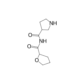 O=C(NC(=O)C1CCCO1)C1CCNC1